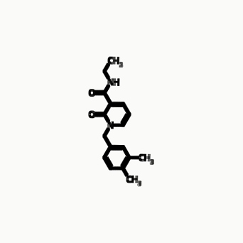 CCNC(=O)c1cccn(Cc2ccc(C)c(C)c2)c1=O